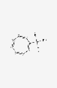 FC(F)(F)C1=C/C=C\C=C/C=C\1